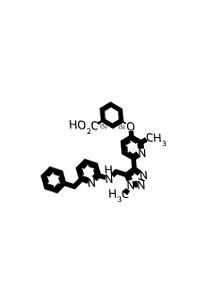 Cc1nc(-c2nnn(C)c2CNc2cccc(Cc3ccccc3)n2)ccc1O[C@H]1CCC[C@H](C(=O)O)C1